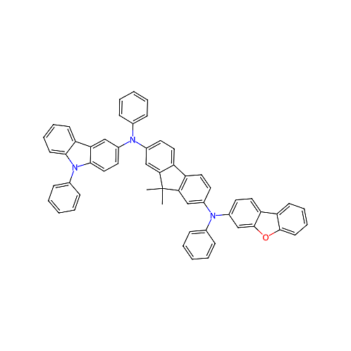 CC1(C)c2cc(N(c3ccccc3)c3ccc4c(c3)oc3ccccc34)ccc2-c2ccc(N(c3ccccc3)c3ccc4c(c3)c3ccccc3n4-c3ccccc3)cc21